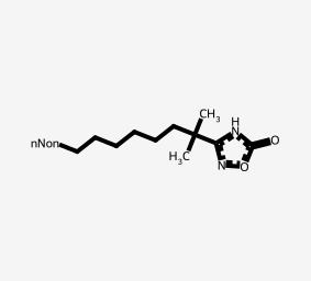 CCCCCCCCCCCCCCCC(C)(C)c1noc(=O)[nH]1